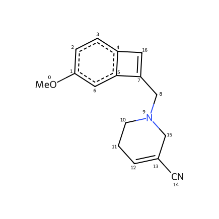 COc1ccc2c(c1)C(CN1CCC=C(C#N)C1)=C2